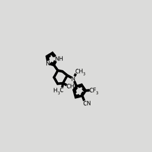 CN(c1ccc(C#N)c(C(F)(F)F)c1)C1CC(c2ncc[nH]2)CCC1(C)C